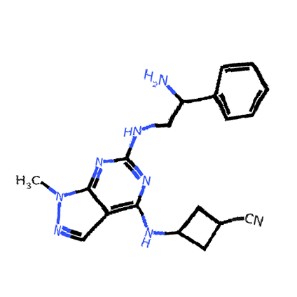 Cn1ncc2c(NC3CC(C#N)C3)nc(NCC(N)c3ccccc3)nc21